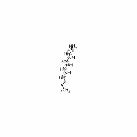 CCCNNNNNNNNN